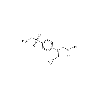 CCS(=O)(=O)c1ccc(N(CC(=O)O)CC2CC2)cc1